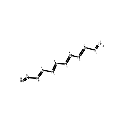 C=NN=NN=NN=NN=NN=N